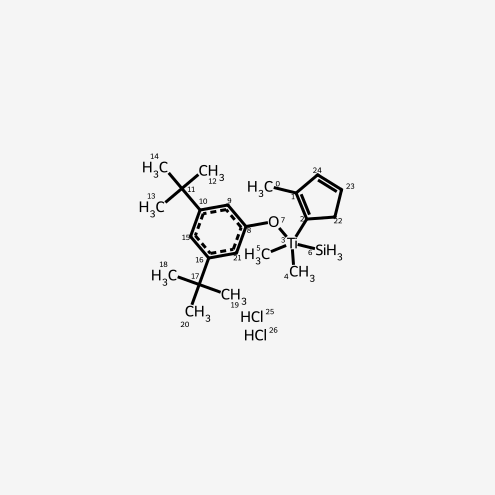 CC1=[C]([Ti]([CH3])([CH3])([SiH3])[O]c2cc(C(C)(C)C)cc(C(C)(C)C)c2)CC=C1.Cl.Cl